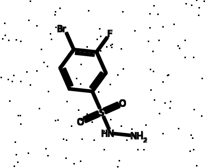 NNS(=O)(=O)c1ccc(Br)c(F)c1